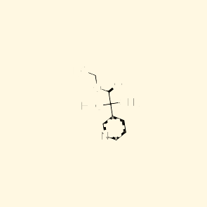 CCOC(=O)C(C)(C)c1cccnc1